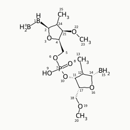 BB[C@@H]1O[C@H](COP(=O)(O)O[C@@H]2C(C)[C@H](B)O[C@@H]2COC)[C@H](OC)C1C